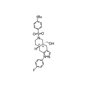 CC(C)(C)c1ccc(S(=O)(=O)N2CC[C@H]3Cc4c(cnn4-c4ccc(F)cc4)C[C@]3(CO)C2)cc1